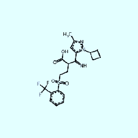 Cc1cc(C(=N)C(CCS(=O)(=O)c2ccccc2C(F)(F)F)C(=O)O)n(C2CCC2)n1